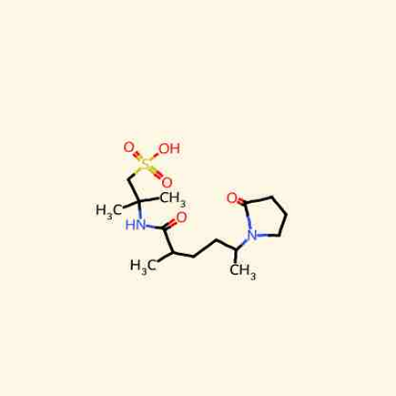 CC(CCC(C)N1CCCC1=O)C(=O)NC(C)(C)CS(=O)(=O)O